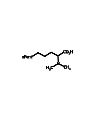 CCCCCCCCC(C(=O)O)N(C)C